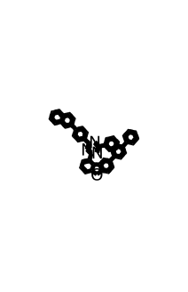 C1=CC2Oc3ccc(-c4ccc(-c5ccccc5)cc4)cc3C2C(c2nc(-c3ccccc3)nc(-c3ccc(-c4ccc5ccccc5c4)cc3)n2)=C1